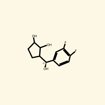 OC1CCC([C@H](O)c2ccc(F)c(F)c2)C1O